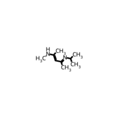 CNC(C)=CC(C)=NC(C)C